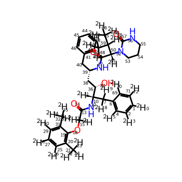 [2H]c1c([2H])c([2H])c(C([2H])([2H])[C@]([2H])(NC(=O)C([2H])([2H])Oc2c(C([2H])([2H])[2H])c([2H])c([2H])c([2H])c2C([2H])([2H])[2H])[C@@H](O)C[C@H](Cc2ccccc2)NC(=O)[C@@]([2H])(N2CCCNC2=O)C([2H])(C([2H])([2H])[2H])C([2H])([2H])[2H])c([2H])c1[2H]